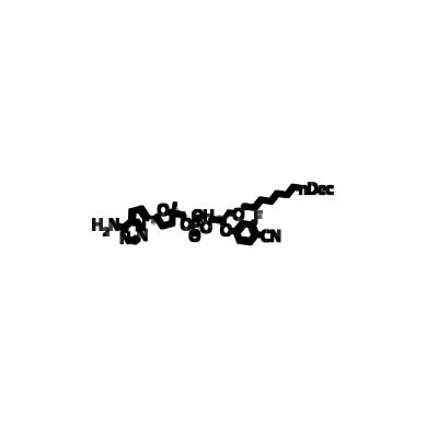 CCCCCCCCCCCCCCCCCOC[C@H](COP(=O)(O)OC[C@]1(C)CC[C@H](c2ccc3c(N)ncnn23)O1)Oc1ccc(C#N)c(F)c1